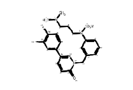 CN(C)CCCN(C(=O)O)c1cccc(Cn2nc(-c3ccc(F)c(F)c3)ccc2=O)c1